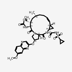 CC[C@@H]1C[C@H](C)CCC=C[C@@H]2C[C@@]2(C(=O)NS(=O)(=O)C2CC2)NC(=O)[C@@H]2C[C@@H](Oc3cnc4ccc(OC)cc4n3)CN2C(=O)[C@H]1NC(=O)O